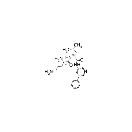 CC(C)C[C@@H](NC(=O)[C@@H](N)CCCN)C(=O)Nc1cncc(-c2ccccc2)c1